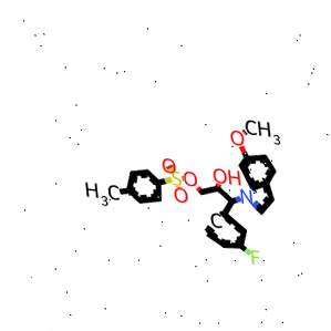 COc1ccc2ccn(C(c3cccc(F)c3)C(O)COS(=O)(=O)c3ccc(C)cc3)c2c1